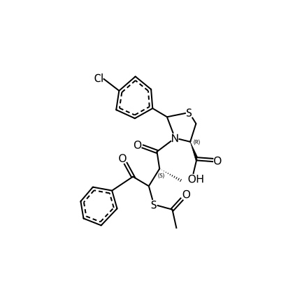 CC(=O)SC(C(=O)c1ccccc1)[C@@H](C)C(=O)N1C(c2ccc(Cl)cc2)SC[C@H]1C(=O)O